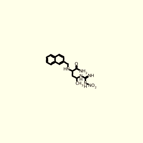 CC(CC(NCc1ccc2ccccc2c1)C(N)=O)NC(=N)N[N+](=O)[O-]